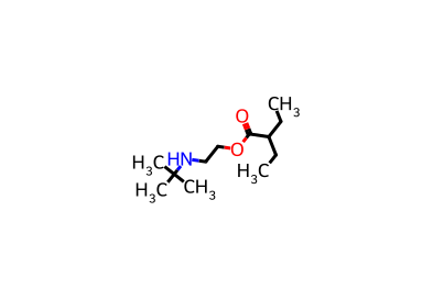 CCC(CC)C(=O)OCCNC(C)(C)C